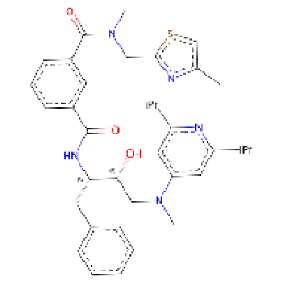 Cc1csc(CN(C)C(=O)c2cccc(C(=O)N[C@@H](Cc3ccccc3)[C@H](O)CN(C)c3cc(C(C)C)nc(C(C)C)c3)c2)n1